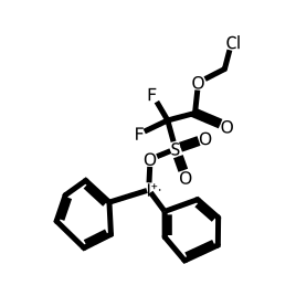 O=C(OCCl)C(F)(F)S(=O)(=O)O[I+](c1ccccc1)c1ccccc1